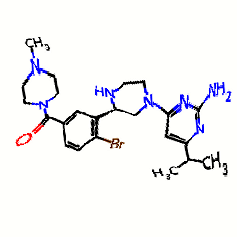 CC(C)c1cc(N2CCN[C@H](c3cc(C(=O)N4CCN(C)CC4)ccc3Br)C2)nc(N)n1